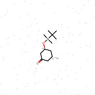 C[C@@H]1CC(=O)C[C@@H](O[Si](C)(C)C(C)(C)C)C1